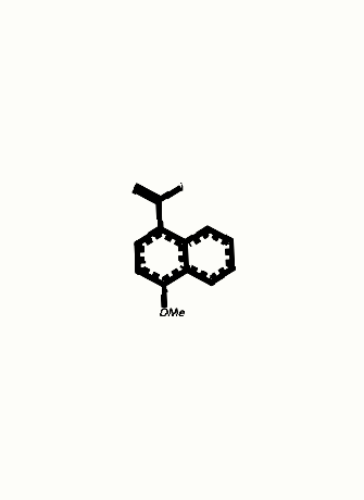 C=C(I)c1ccc(OC)c2ccccc12